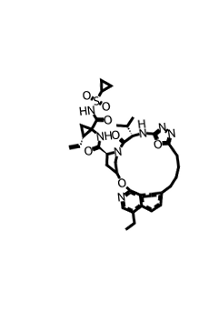 C=C[C@@H]1CC1(NC(=O)[C@@H]1CC2CN1C(=O)[C@H](C(C)C)Nc1nnc(o1)CCCCc1ccc3c(CC)cnc(c3c1)O2)C(=O)NS(=O)(=O)C1CC1